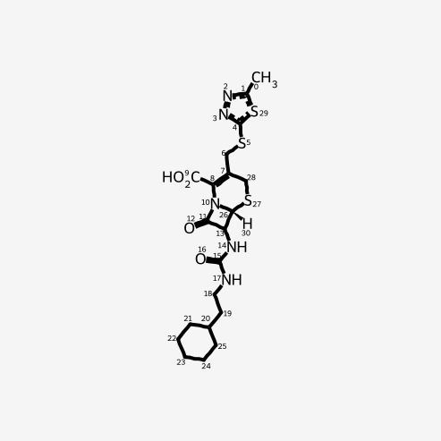 Cc1nnc(SCC2=C(C(=O)O)N3C(=O)C(NC(=O)NCCC4CCCCC4)[C@H]3SC2)s1